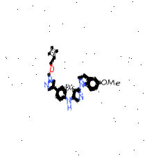 COc1ccc2c(ccn2C2=NCC(Nc3ccc(-c4cnn(COCC[Si](C)(C)C)c4)cc3)=C2C(C)(C)C)c1